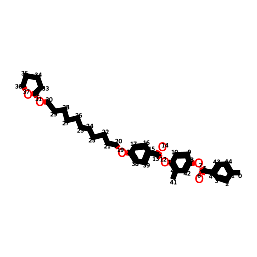 Cc1ccc(C(=O)Oc2ccc(OC(=O)c3ccc(OCCCCCCCCCCCOC4CCCCO4)cc3)c(C)c2)cc1